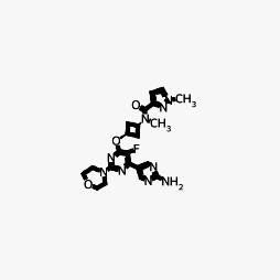 Cn1ccc(C(=O)N(C)[C@H]2C[C@H](Oc3nc(N4CCOCC4)nc(-c4cnc(N)nc4)c3F)C2)n1